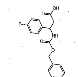 O=C(O)CC(NC(=O)OCc1ccccc1)c1ccc(F)cc1